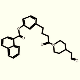 O=CCC1CCN(C(=O)CCCc2cccc(OC(=O)c3cccc4ccccc34)c2)CC1